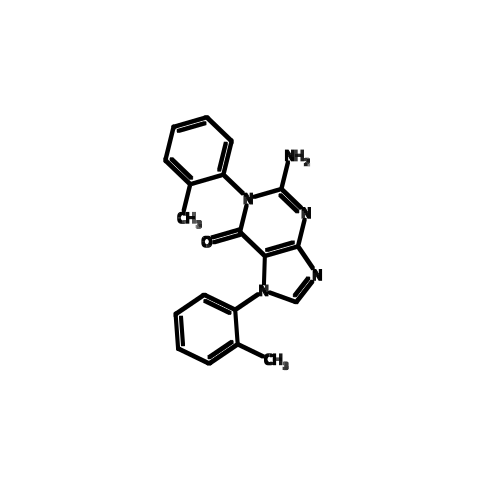 Cc1ccccc1-n1c(N)nc2ncn(-c3ccccc3C)c2c1=O